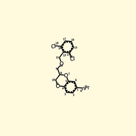 CCCc1ccc2c(c1)OC(COCc1c(Cl)cccc1Cl)CO2